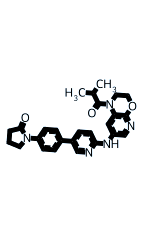 CC(C)C(=O)N1CCOc2ncc(Nc3ccc(-c4ccc(N5CCCC5=O)cc4)cn3)cc21